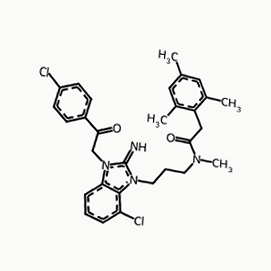 Cc1cc(C)c(CC(=O)N(C)CCCn2c(=N)n(CC(=O)c3ccc(Cl)cc3)c3cccc(Cl)c32)c(C)c1